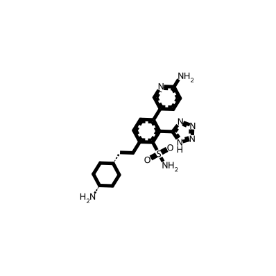 Nc1ccc(-c2ccc(CC[C@H]3CC[C@@H](N)CC3)c(S(N)(=O)=O)c2-c2nnn[nH]2)cn1